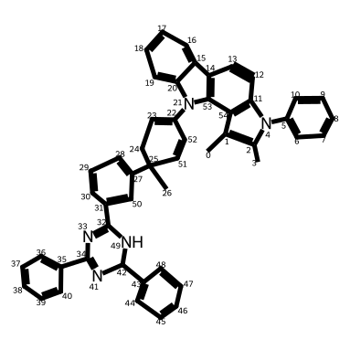 Cc1c(C)n(-c2ccccc2)c2c#cc3c4ccccc4n(C4=CCC(C)(c5cccc(C6=NC(c7ccccc7)=NC(c7ccccc7)N6)c5)C=C4)c3c12